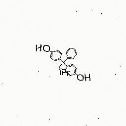 CC(C)CC(c1ccccc1)(c1ccc(O)cc1)c1ccc(O)cc1